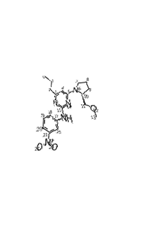 CCCc1cc(N2CCC[C@H]2COC)nc(Nc2cccc([N+](=O)[O-])c2)n1